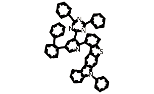 c1ccc(-c2nc(-c3ccccc3)nc(-c3cc(-c4ccccc4-c4ccccc4)cnc3-c3cccc4sc5cc6c(cc5c34)c3ccccc3n6-c3ccccc3)n2)cc1